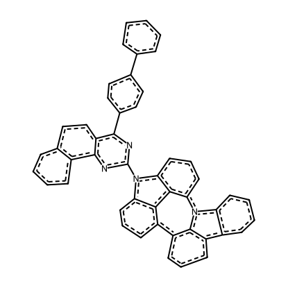 c1ccc(-c2ccc(-c3nc(-n4c5cccc6c7cccc8c9ccccc9n(c9cccc4c9c65)c78)nc4c3ccc3ccccc34)cc2)cc1